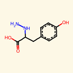 NNC(Cc1ccc(O)cc1)C(=O)O